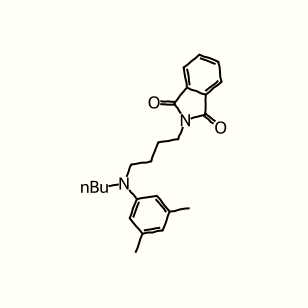 CCCCN(CCCCN1C(=O)c2ccccc2C1=O)c1cc(C)cc(C)c1